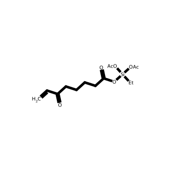 C=CC(=O)CCCCC(=O)O[Si](CC)(OC(C)=O)OC(C)=O